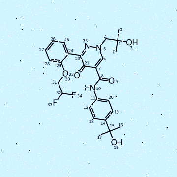 CC(C)(O)Cn1cc(C(=O)Nc2ccc(C(C)(C)O)cc2)c(=O)c(-c2ccccc2OCC(F)F)n1